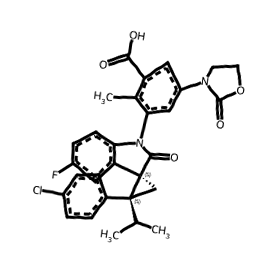 Cc1c(C(=O)O)cc(N2CCOC2=O)cc1N1C(=O)[C@]2(C[C@@]2(c2ccc(Cl)cc2)C(C)C)c2cc(F)ccc21